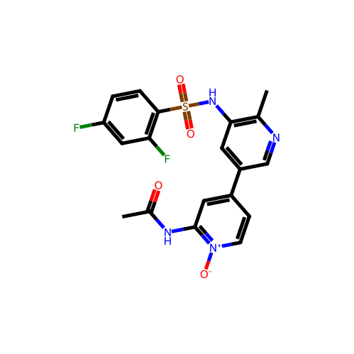 CC(=O)Nc1cc(-c2cnc(C)c(NS(=O)(=O)c3ccc(F)cc3F)c2)cc[n+]1[O-]